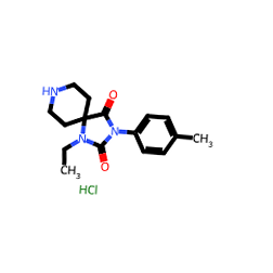 CCN1C(=O)N(c2ccc(C)cc2)C(=O)C12CCNCC2.Cl